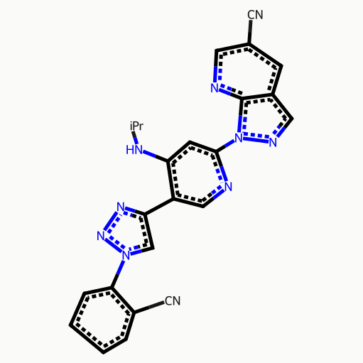 CC(C)Nc1cc(-n2ncc3cc(C#N)cnc32)ncc1-c1cn(-c2ccccc2C#N)nn1